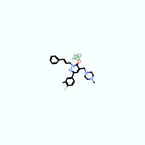 Cc1cc(-c2cc(CN3CCN(C)CC3)c(=O)n(C/C=C/c3ccccc3)n2)ccc1F.Cl.Cl